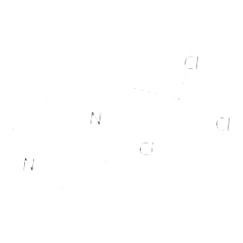 ClC(Cl)(Cl)CN1CC[N]CC1